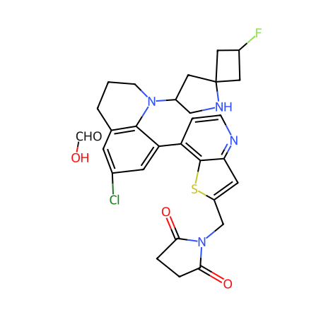 O=C1CCC(=O)N1Cc1cc2nccc(-c3cc(Cl)cc4c3N(C3CNC5(CC(F)C5)C3)CCC4)c2s1.O=CO